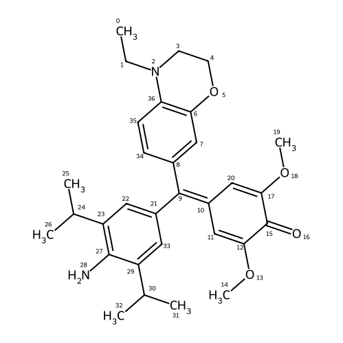 CCN1CCOc2cc(C(=C3C=C(OC)C(=O)C(OC)=C3)c3cc(C(C)C)c(N)c(C(C)C)c3)ccc21